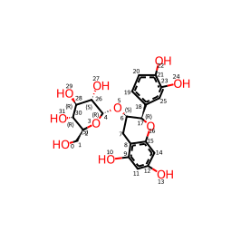 OC[C@@H]1O[C@@H](O[C@H]2Cc3c(O)cc(O)cc3O[C@@H]2c2ccc(O)c(O)c2)[C@@H](O)[C@H](O)[C@H]1O